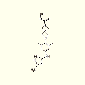 Cc1cc(Nc2nc(N)n[nH]2)cc(C)c1N1CC2(CN(C(=O)OC(C)(C)C)C2)C1